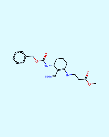 COC(=O)CCNC1=C(C=N)[C@H](NC(=O)OCc2ccccc2)CCC1